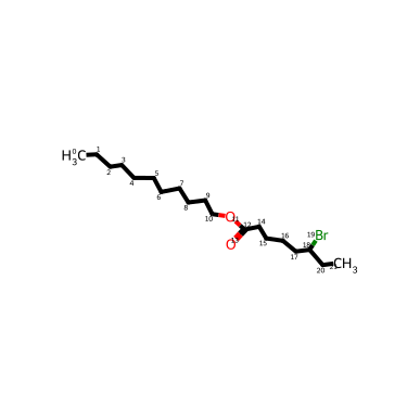 CCCCCCCCCCCOC(=O)CCCCC(Br)CC